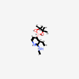 C=CNc1nccc(B2OC(C)(C)C(C)(C)O2)c1C=C